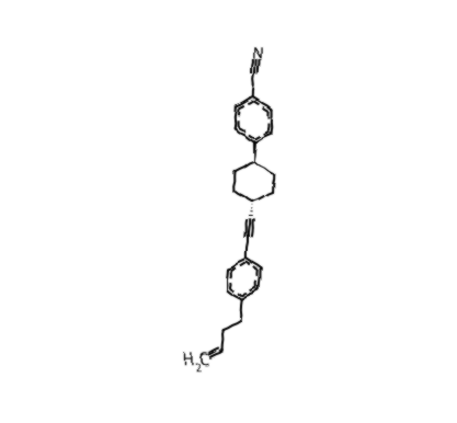 C=CCCc1ccc(C#C[C@H]2CC[C@H](c3ccc(C#N)cc3)CC2)cc1